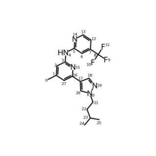 Cc1cc(Nc2cc(C(F)(F)F)ccn2)nc(-c2cnn(CCC(C)C)c2)c1